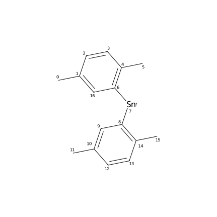 Cc1ccc(C)[c]([Sn][c]2cc(C)ccc2C)c1